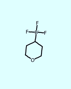 F[B-](F)(F)C1CCOCC1